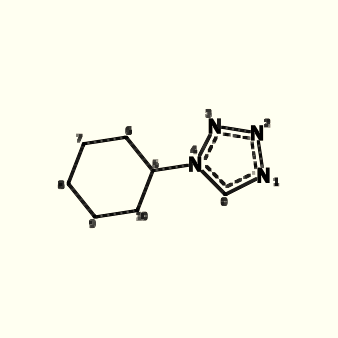 c1nnnn1C1CCCCC1